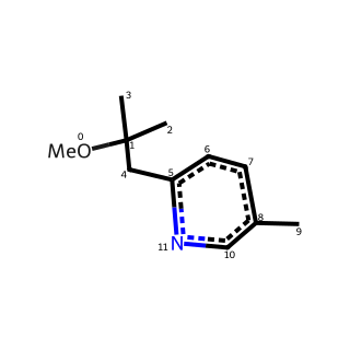 COC(C)(C)Cc1ccc(C)cn1